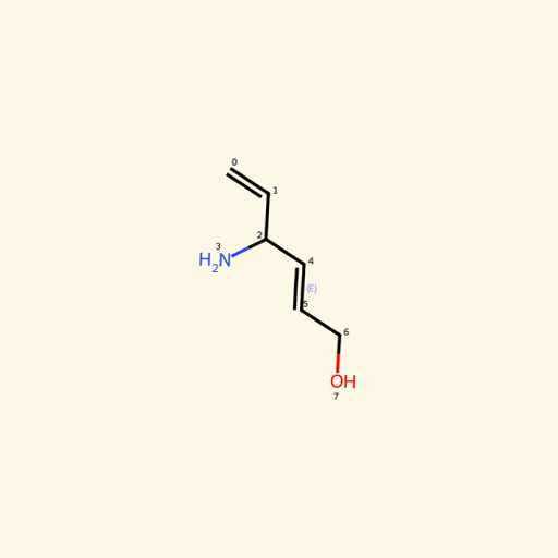 C=CC(N)/C=C/CO